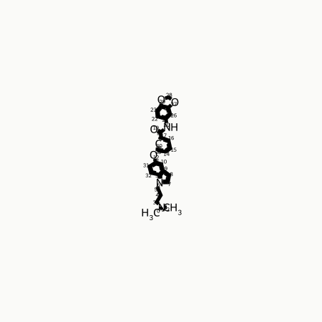 CN(C)CCCn1ccc2cc(Oc3cccc(C(=O)Nc4ccc5c(c4)OCO5)c3)ccc21